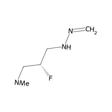 C=NNC[C@H](F)CNC